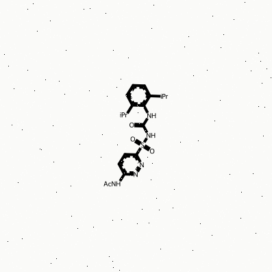 CC(=O)Nc1ccc(S(=O)(=O)NC(=O)Nc2c(C(C)C)cccc2C(C)C)nn1